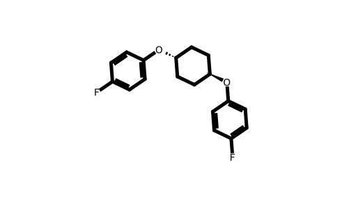 Fc1ccc(O[C@H]2CC[C@H](Oc3ccc(F)cc3)CC2)cc1